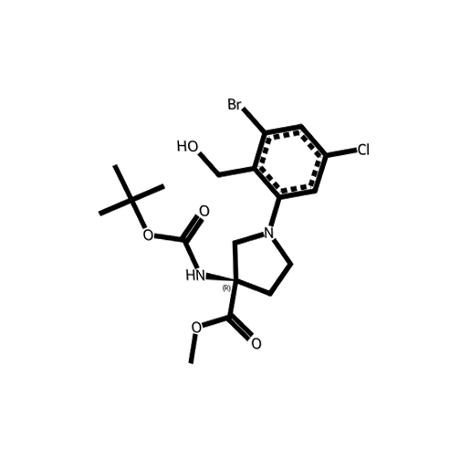 COC(=O)[C@@]1(NC(=O)OC(C)(C)C)CCN(c2cc(Cl)cc(Br)c2CO)C1